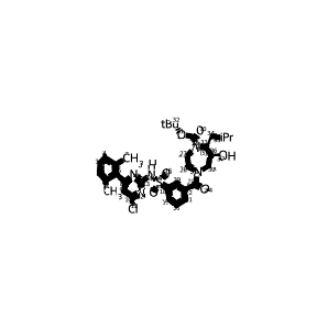 Cc1cccc(C)c1-c1cc(Cl)nc(NS(=O)(=O)c2cccc(C(=O)N3CCN(C(=O)OC(C)(C)C)[C@@H](CC(C)C)[C@@H](O)C3)c2)n1